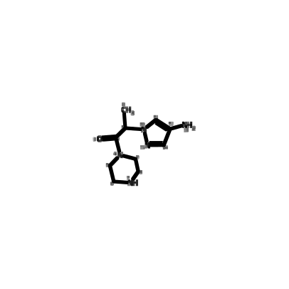 CC(C(=O)N1CCNCC1)n1cc(N)cn1